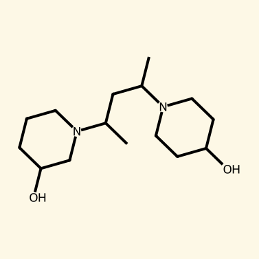 CC(CC(C)N1CCCC(O)C1)N1CCC(O)CC1